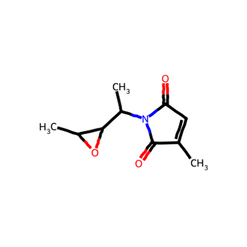 CC1=CC(=O)N(C(C)C2OC2C)C1=O